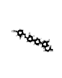 CCCc1ccc(CCc2ccc(-c3ccc(-c4cc(F)c5c(c4)CCC(C)O5)cc3)cc2F)c(F)c1